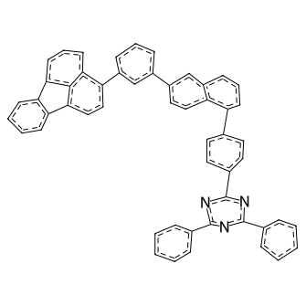 c1ccc(-c2nc(-c3ccccc3)nc(-c3ccc(-c4cccc5cc(-c6cccc(-c7ccc8c9c(cccc79)-c7ccccc7-8)c6)ccc45)cc3)n2)cc1